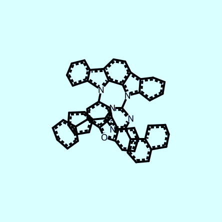 c1ccc(-c2nc(-c3cccc4ccccc34)nc(-n3c4ccccc4c4ccc5c6ccccc6n(-c6cc(-c7ccccc7)c7oc8ccccc8c7c6)c5c43)n2)cc1